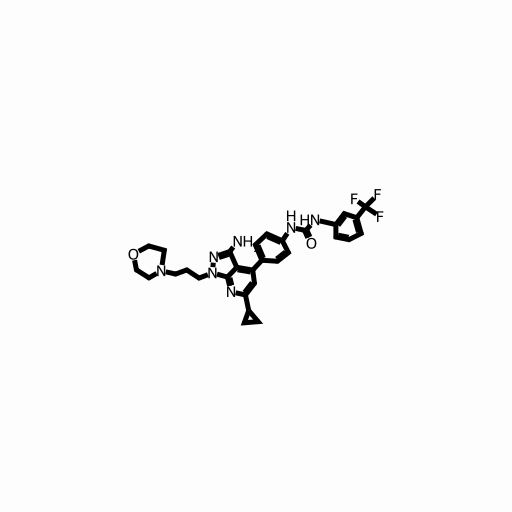 Nc1nn(CCCN2CCOCC2)c2nc(C3CC3)cc(-c3ccc(NC(=O)Nc4cccc(C(F)(F)F)c4)cc3)c12